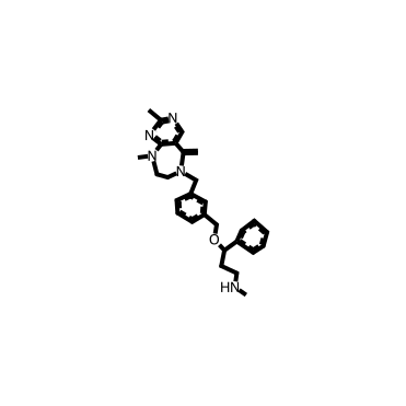 C=C1c2cnc(C)nc2N(C)CCN1Cc1cccc(COC(CCNC)c2ccccc2)c1